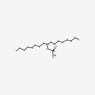 CCCCCCCCN(CCCCCCCC)CC(=O)O